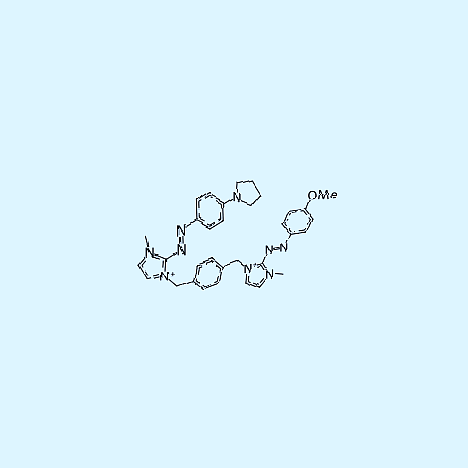 COc1ccc(/N=N/c2n(C)cc[n+]2Cc2ccc(C[n+]3ccn(C)c3/N=N/c3ccc(N4CCCC4)cc3)cc2)cc1